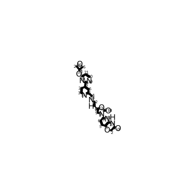 O=C1COc2ccc(N3C[C@@H](CCNCc4cc(-c5nccc(OC6COC6)n5)ccn4)OC3=O)nc2N1